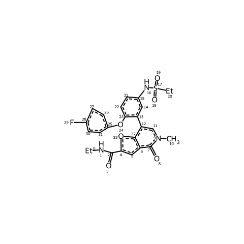 CCNC(=O)c1cc2c(=O)n(C)cc(-c3cc(NS(=O)(=O)CC)ccc3Oc3ccc(F)cc3)c2o1